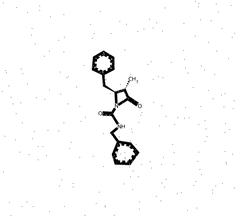 C[C@@H]1C(=O)N(C(=O)NCc2ccccc2)[C@H]1Cc1ccccc1